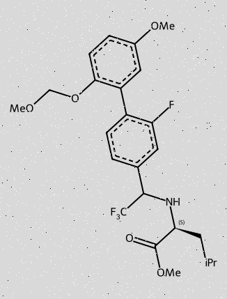 COCOc1ccc(OC)cc1-c1ccc(C(N[C@@H](CC(C)C)C(=O)OC)C(F)(F)F)cc1F